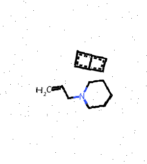 C=CCN1CCCCC1.c1cc2ccc1-2